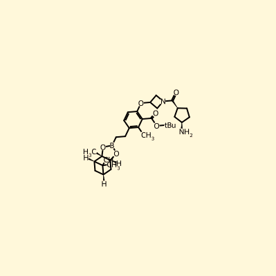 Cc1c(CCB2O[C@@H]3C[C@@H]4C[C@@H](C4(C)C)[C@]3(C)O2)ccc(OC2CN(C(=O)[C@H]3CC[C@@H](N)C3)C2)c1C(=O)OC(C)(C)C